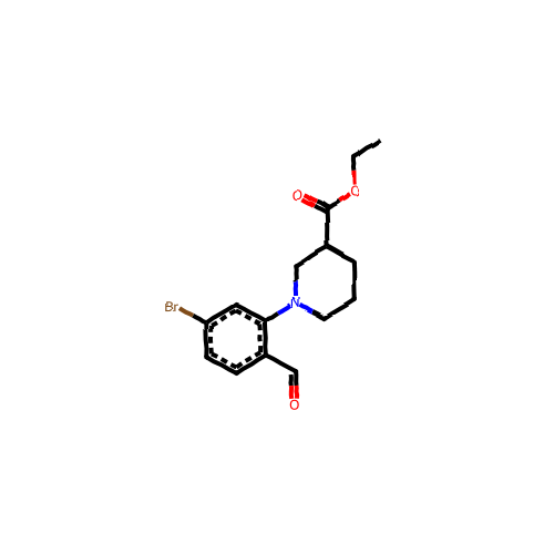 CCOC(=O)C1CCCN(c2cc(Br)ccc2C=O)C1